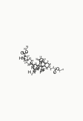 CCOC(=O)CCc1ccc(-n2ccc(C)n2)c([C@@H](Oc2cc(N3CCC4(CC3)CN[C@H](C(=O)OCC)C4)nc(N)n2)C(F)(F)F)c1